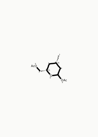 CC(=O)OC[C@@H]1C[C@H](F)CC(OC(C)=O)O1